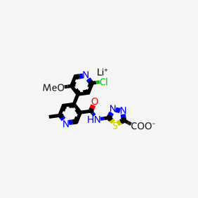 COc1cnc(Cl)cc1-c1cc(C)ncc1C(=O)Nc1nnc(C(=O)[O-])s1.[Li+]